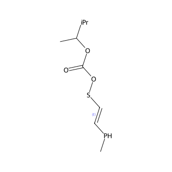 CP/C=C/SOC(=O)OC(C)C(C)C